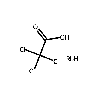 O=C(O)C(Cl)(Cl)Cl.[RbH]